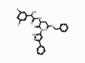 O=C(CC(NC(=O)C(O)c1cc(F)cc(F)c1)C(=O)Nc1cc(-c2ccccc2)n[nH]1)OCc1ccccc1